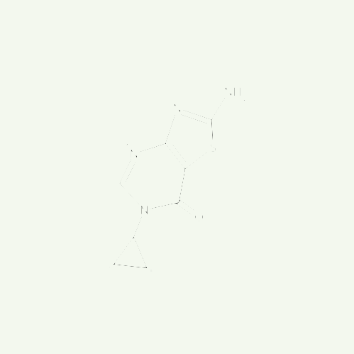 Nc1nc2ncn(C3CC3)c(=O)c2s1